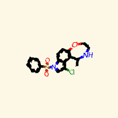 CC1NCCOc2ccc3c(c(Cl)cn3S(=O)(=O)c3ccccc3)c21